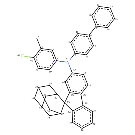 Cc1cc(N(c2ccc(-c3ccccc3)cc2)c2ccc3c(c2)C2(c4ccccc4-3)C3CC4CC(C3)CC2C4)ccc1F